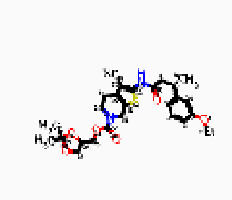 CCOc1cccc([C@@H](C)CC(=O)Nc2sc3c(c2C#N)CCN(C(=O)OCC2COC(C)(C)O2)C3)c1